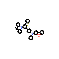 CC1(C)c2ccccc2N(c2cc(-c3ccc(N(c4ccccc4)c4ccc5c(c4)oc4ccccc45)cc3)c3sc4ccccc4c3c2)c2ccccc21